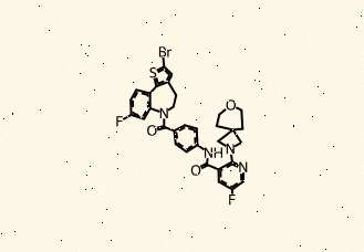 O=C(Nc1ccc(C(=O)N2CCc3cc(Br)sc3-c3ccc(F)cc32)cc1)c1cc(F)cnc1N1CC2(CCOCC2)C1